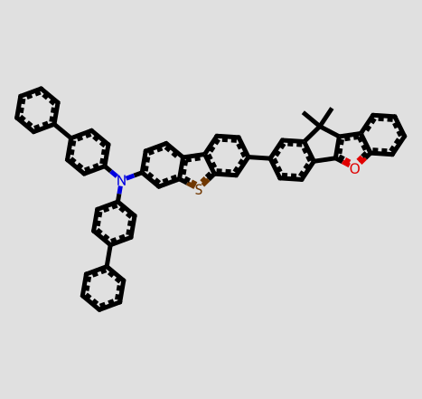 CC1(C)c2cc(-c3ccc4c(c3)sc3cc(N(c5ccc(-c6ccccc6)cc5)c5ccc(-c6ccccc6)cc5)ccc34)ccc2-c2oc3ccccc3c21